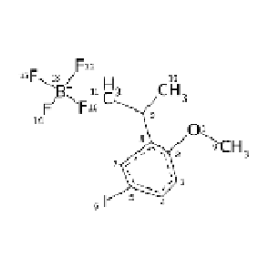 COc1ccc(I)cc1C(C)C.F[B-](F)(F)F